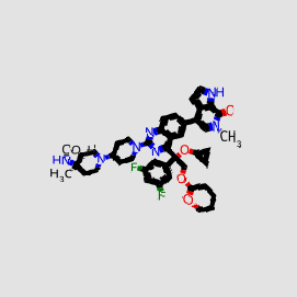 Cn1cc(-c2ccc3nc(N4CCC(N5CCC(C)(NC(=O)O)CC5)CC4)nc(C(COC4CCCCO4)(OC4CC4)c4cc(F)cc(F)c4)c3c2)c2cc[nH]c2c1=O